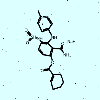 Cc1ccc(Nc2c(N[SH](=O)=O)ccc(OC(=O)C3=CCCCC3)c2C(N)=O)cc1.[NaH]